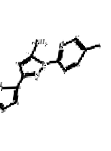 Cc1ccc(-n2nc(-c3ccco3)cc2N)nc1